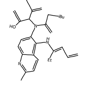 C=C/C=C(\CC)Nc1c(N(C(=C)CC(C)CC)C(C(=C)C)C(=C)O)ccc2nc(C)ccc12